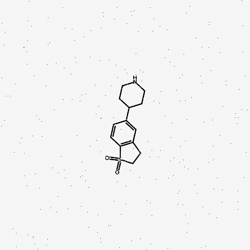 O=S1(=O)CCc2cc(C3CCNCC3)ccc21